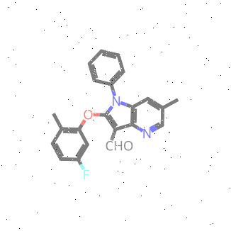 Cc1cnc2c(C=O)c(Oc3cc(F)ccc3C)n(-c3ccccc3)c2c1